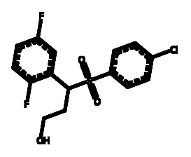 O=S(=O)(c1ccc(Cl)cc1)C(CCO)c1cc(F)ccc1F